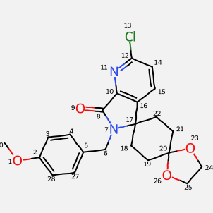 COc1ccc(CN2C(=O)c3nc(Cl)ccc3C23CCC2(CC3)OCCO2)cc1